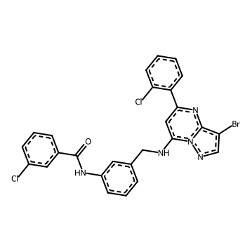 O=C(Nc1cccc(CNc2cc(-c3ccccc3Cl)nc3c(Br)cnn23)c1)c1cccc(Cl)c1